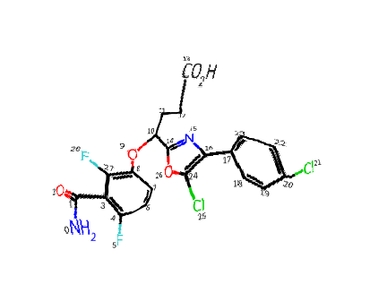 NC(=O)c1c(F)ccc(OC(CCC(=O)O)c2nc(-c3ccc(Cl)cc3)c(Cl)o2)c1F